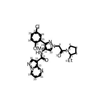 CCC1CCCN1C(=O)Cn1cc(NC(=O)c2cnn3cccnc23)c(-c2cc(Cl)ccc2OC)n1